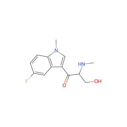 CNC(CO)C(=O)c1cn(C)c2ccc(F)cc12